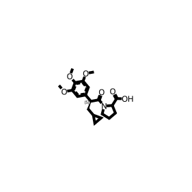 COc1cc([C@H](CC2CC2)C(=O)N2CCCC2C(=O)O)cc(OC)c1OC